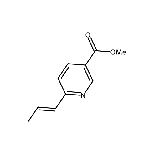 CC=Cc1ccc(C(=O)OC)cn1